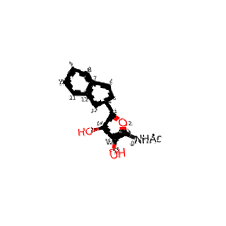 CC(=O)Nc1oc(-c2ccc3ccccc3c2)c(O)c1O